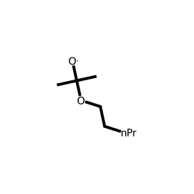 CCCCCOC(C)(C)[O]